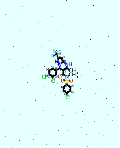 CC1=C(C(=O)N(C)S(=O)(=O)c2ccc(Cl)cc2)C(c2ccc(Cl)c(Cl)c2)n2nc(C(F)(F)F)cc2N1